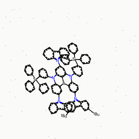 CC(C)(C)c1ccc2c(c1)c1cc(C(C)(C)C)ccc1n2-c1ccc2c(c1)B1c3cc(-n4c5ccccc5c5ccccc54)ccc3N(c3cccc([Si](c4ccccc4)(c4ccccc4)c4ccccc4)c3)c3cc(-n4c5ccccc5c5ccccc54)cc(c31)N2c1cccc([Si](c2ccccc2)(c2ccccc2)c2ccccc2)c1